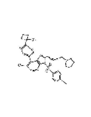 Cc1ccc(S(=O)(=O)n2c(C=CCN3CCCC3)cc3c(-c4cnc(C5(O)CCC5)s4)c(Cl)cnc32)cc1